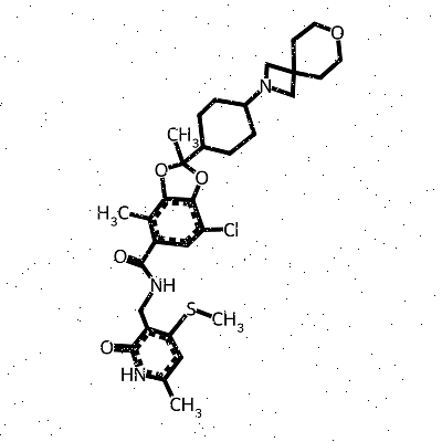 CSc1cc(C)[nH]c(=O)c1CNC(=O)c1cc(Cl)c2c(c1C)OC(C)(C1CCC(N3CC4(CCOCC4)C3)CC1)O2